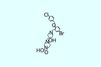 O=C(O)N1CCCN(CC2(O)CCN(Cc3cc(Br)ccc3OCc3ccc(Cl)cc3)CC2)CC1